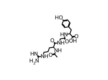 CC(=O)NC(CCCNC(=N)N)C(=O)NCC(=O)NC(Cc1ccc(O)cc1)C(=O)O